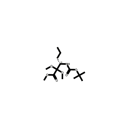 CCC[C@H](NC(=O)OC(C)(C)C)C(OC)(OC)C(=O)OC